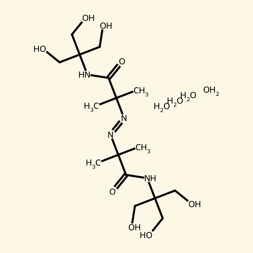 CC(C)(N=NC(C)(C)C(=O)NC(CO)(CO)CO)C(=O)NC(CO)(CO)CO.O.O.O.O